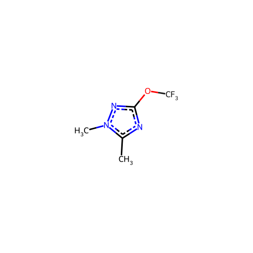 Cc1nc(OC(F)(F)F)nn1C